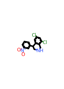 O=[N+]([O-])c1cccc(C2CNCc3c(Cl)cc(Cl)cc32)c1